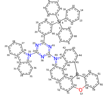 c1ccc([Si](c2ccccc2)(c2ccccc2)c2cccc(-c3nc(-n4c5ccccc5c5ccccc54)nc(-n4c5cccc6c5c5c7c8c(ccc7ccc54)Oc4ccccc4B86)n3)c2)cc1